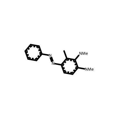 CNc1ccc(/N=N/c2ccccc2)c(C)c1NC